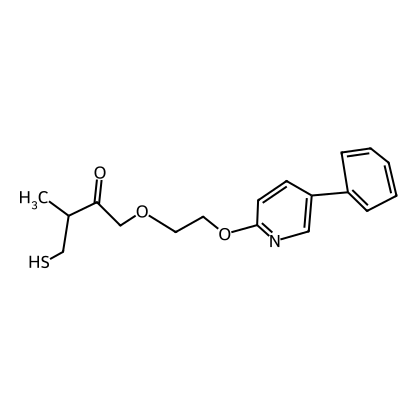 CC(CS)C(=O)COCCOc1ccc(-c2ccccc2)cn1